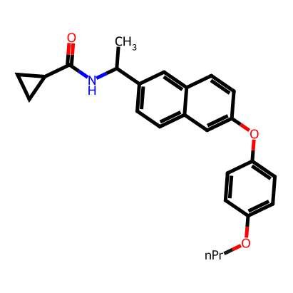 CCCOc1ccc(Oc2ccc3cc(C(C)NC(=O)C4CC4)ccc3c2)cc1